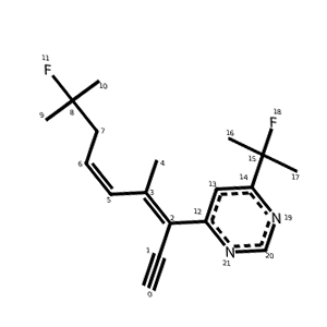 C#C/C(=C(C)\C=C/CC(C)(C)F)c1cc(C(C)(C)F)ncn1